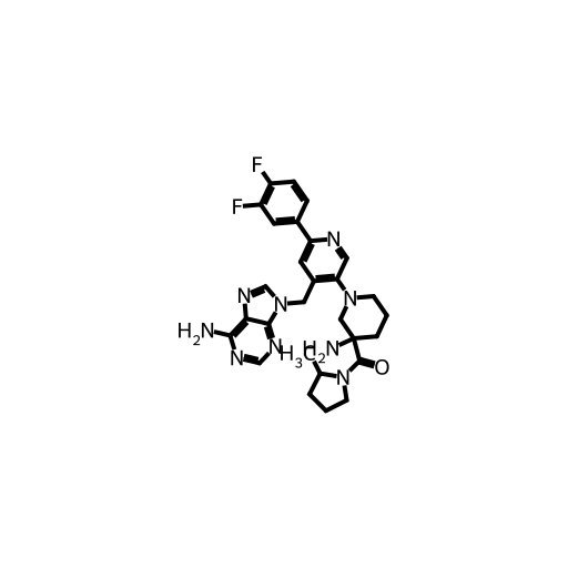 CC1CCCN1C(=O)C1(N)CCCN(c2cnc(-c3ccc(F)c(F)c3)cc2Cn2cnc3c(N)ncnc32)C1